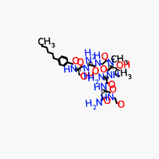 CCCCCCc1ccc(C(=O)N[C@H](CO)C(=O)N[C@H](N)C(=O)NCC(=O)N(C)[C@H](C(=O)N[C@@H](N)C(=O)N[C@@H](CC(N)=O)C(=O)NCC=O)C(C)O)cc1